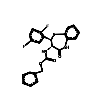 O=C(N[C@H]1C(=O)Nc2ccccc2S[C@@H]1c1cc(F)ccc1F)OCc1ccccc1